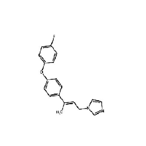 CC(=CCn1ccnc1)c1ccc(Oc2ccc(F)cc2)cc1